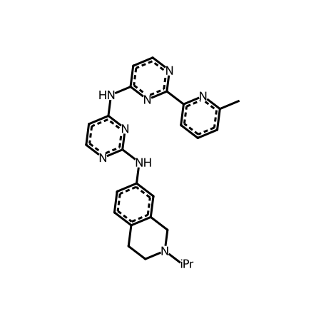 Cc1cccc(-c2nccc(Nc3ccnc(Nc4ccc5c(c4)CN(C(C)C)CC5)n3)n2)n1